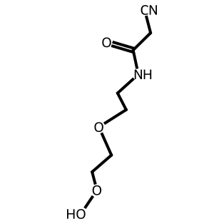 N#CCC(=O)NCCOCCOO